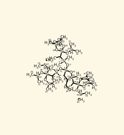 CC([Si](C)(C)O[Si](CCCS)(O[Si](C)(C)C(C)[Si](O[SiH](C)C)(O[SiH](C)C)O[SiH](C)C)O[Si](C)(C)C(C)[Si](O[SiH](C)C)(O[SiH](C)C)O[SiH](C)C)[Si](O[SiH](C)C)(O[SiH](C)C)O[SiH](C)C